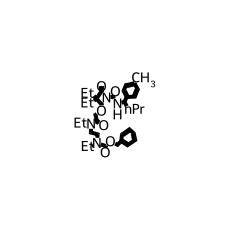 CCCC(NC(=O)N1C(=O)C(CC)(CC)C1OCC(=O)N(CC)CCN(CC)C(=O)OCc1ccccc1)c1ccc(C)cc1